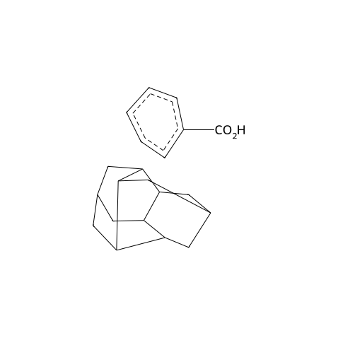 C1C2CC3C4CC5CC(C14)C(C2)C3C5.O=C(O)c1ccccc1